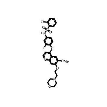 COc1cc2c(Oc3ccc(NS(=O)(=O)c4ccccc4Cl)cc3F)ccnc2cc1OCCN1CCOCC1